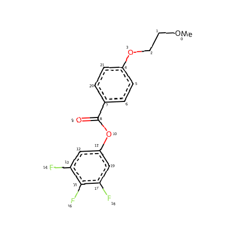 COCCOc1ccc(C(=O)Oc2cc(F)c(F)c(F)c2)cc1